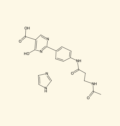 CC(=O)NCCC(=O)Nc1ccc(-c2ncc(C(=O)O)c(O)n2)cc1.c1c[nH]cn1